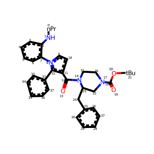 CCCNc1ccccc1-n1ccc(C(=O)N2CCN(C(=O)OC(C)(C)C)CC2Cc2ccccc2)c1-c1ccccc1